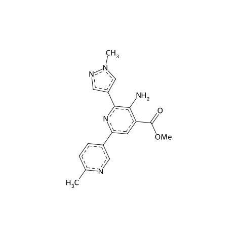 COC(=O)c1cc(-c2ccc(C)nc2)nc(-c2cnn(C)c2)c1N